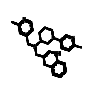 Cc1ccc(N2CCC[C@H](N(CC3=CNc4ccccc4C3)Cc3ccnc(C)c3)C2)cn1